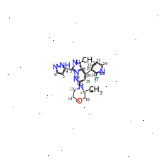 Cc1nc(-c2ccn[nH]2)n2nc(N3CCOCC3C)cc(-c3cccnc3F)c12